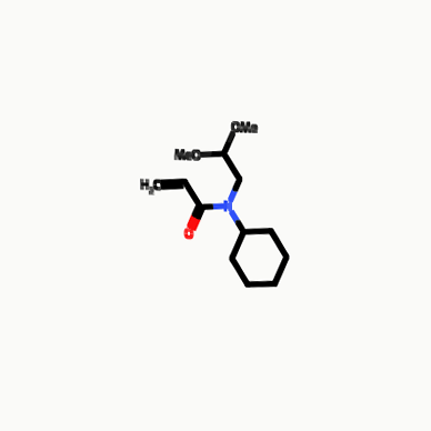 C=CC(=O)N(CC(OC)OC)C1CCCCC1